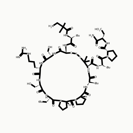 CC[C@H](C)[C@@H]1NC(=O)[C@@H]2CCCN2C(=O)[C@@H]2CCCN2C(=O)[C@H](CC(C)(C)C)NC(=O)[C@H](CO)NC(=O)[C@H](CCCNC(=N)N)NC(=O)[C@H](CO)NC(=O)[C@@H](NC(=O)[C@@H](NC(=O)C(C)(C)CN)[C@@H](C)CC)CSSC(C)(C)[C@@H](C(=O)N[C@H](C(=O)N2CCC[C@H]2C(=O)N[C@@H](CC(=O)O)C(N)=O)[C@@H](C)CC)NC1=O